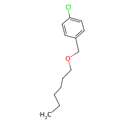 [CH2]CCCCCOCc1ccc(Cl)cc1